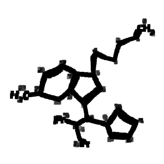 C=CCCCC1C=C(B(C2C=CC=C2)N(C(C)C)C(C)C)C2=C1C=CC(C)C2